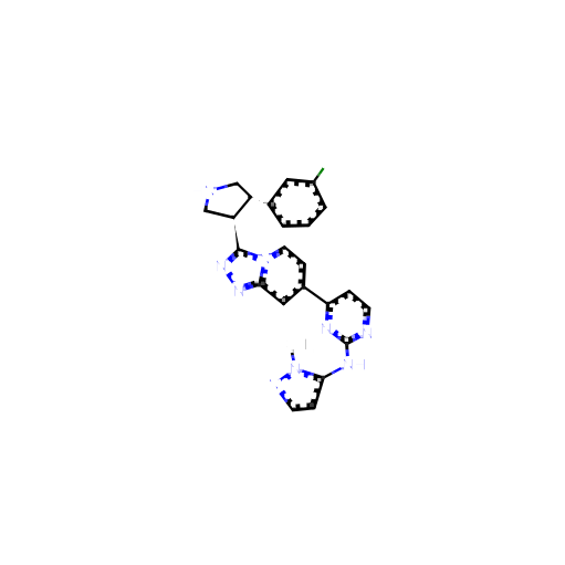 Cn1nccc1Nc1nccc(-c2ccn3c([C@H]4CNC[C@@H]4c4cccc(F)c4)nnc3c2)n1